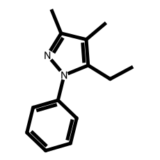 CCc1c(C)c(C)nn1-c1ccccc1